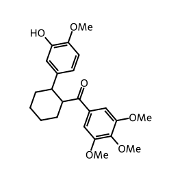 COc1ccc(C2CCCCC2C(=O)c2cc(OC)c(OC)c(OC)c2)cc1O